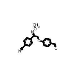 CO/N=C(\COc1ccc(C=O)cc1)c1ccc(C#N)cc1